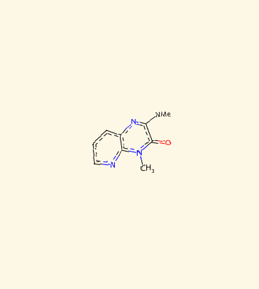 CNc1nc2cccnc2n(C)c1=O